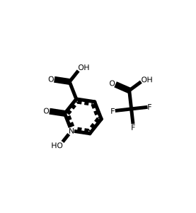 O=C(O)C(F)(F)F.O=C(O)c1cccn(O)c1=O